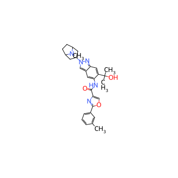 Cc1cccc(-c2nc(C(=O)Nc3cc4cn(C5CC6CCC(C5)N6C)nc4cc3C(C)(C)O)co2)c1